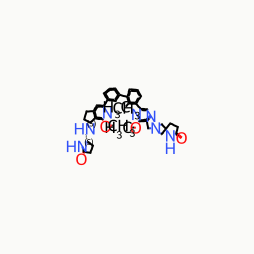 COc1nc(-c2cccc(-c3cccc(-c4cc5c(c(OC)n4)[C@@H](NC[C@@H]4CCC(=O)N4)CC5)c3C)c2C)cnc1CN1CC2(CCC(=O)N2)C1